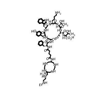 CCNCCNC[C@]1(N)CNCCNCC(NC(=O)CCCC(=O)N[C@H](Cc2ccccc2)C(=O)N[C@H]2CSSC[C@@H](C(=O)N[C@H](C(=O)O)C(C)O)NC(=O)[C@H](C(C)O)NC(=O)[C@H](CCCCN)NC(=O)[C@@H](Cc3c[nH]c4ccccc34)NC(=O)[C@H](Cc3ccc(O)cc3)NC2=O)CNCCN1